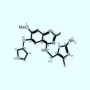 COc1cc2nc(C)nc(N[C@@H](C)c3sc(N)nc3C)c2cc1O[C@H]1CCOC1